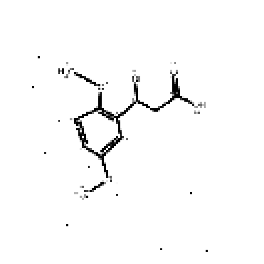 COc1ccc(OC)c(C(O)CC(=O)O)c1